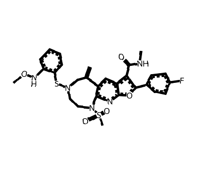 C=C1CN(Sc2ccccc2NOC)CCN(S(C)(=O)=O)c2nc3oc(-c4ccc(F)cc4)c(C(=O)NC)c3cc21